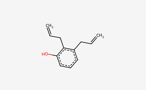 C=CCc1[c]ccc(O)c1CC=C